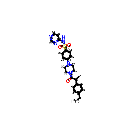 CC(C)Cc1ccc(C(C)C(=O)N2CCN(c3ccc(S(=O)(=O)Nc4ccncn4)cc3)CC2)cc1